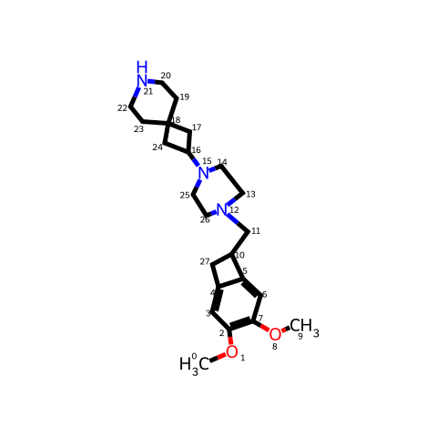 COc1cc2c(cc1OC)C(CN1CCN(C3CC4(CCNCC4)C3)CC1)C2